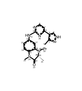 Cc1n[nH]cc1-c1ccnc(Nc2ccc3c(c2)N(C(C)C)[C@H](C)C(=O)N3C)n1